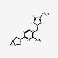 Cc1nc(N2CC3CC3C2)ccc1Cn1nnc(C(=O)O)n1